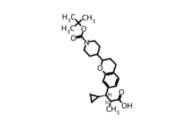 C[C@H](C(=O)O)[C@H](c1ccc2c(c1)OC(C1CCN(C(=O)OC(C)(C)C)CC1)CC2)C1CC1